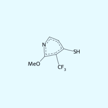 COc1nccc(S)c1C(F)(F)F